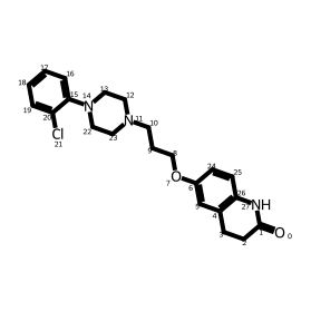 O=C1CCc2cc(OCCCN3CCN(c4ccccc4Cl)CC3)ccc2N1